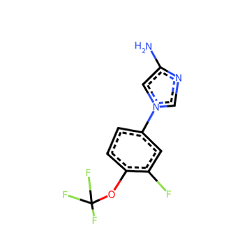 Nc1cn(-c2ccc(OC(F)(F)F)c(F)c2)cn1